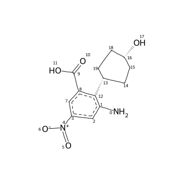 Nc1cc([N+](=O)[O-])cc(C(=O)O)c1[C@H]1CC[C@@H](O)CC1